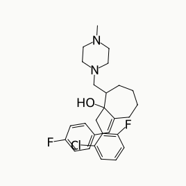 CN1CCN(CC2CCCCC(=Cc3ccc(F)cc3)C2(O)Cc2c(F)cccc2Cl)CC1